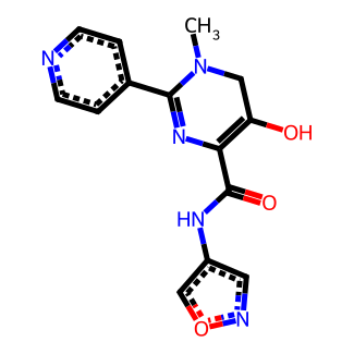 CN1CC(O)=C(C(=O)Nc2cnoc2)N=C1c1ccncc1